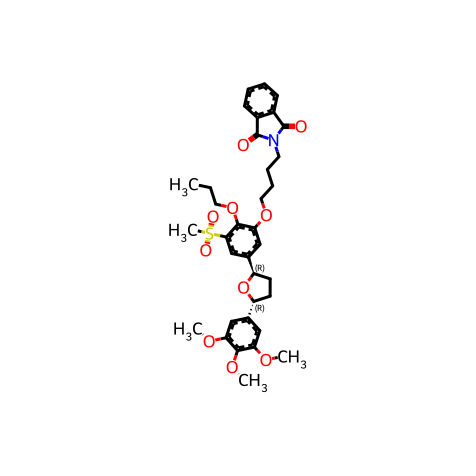 CCCOc1c(OCCCCN2C(=O)c3ccccc3C2=O)cc([C@H]2CC[C@H](c3cc(OC)c(OC)c(OC)c3)O2)cc1S(C)(=O)=O